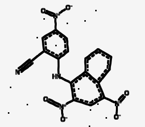 N#Cc1cc([N+](=O)[O-])ccc1Nc1c([N+](=O)[O-])cc([N+](=O)[O-])c2ccccc12